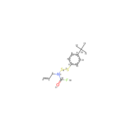 C=CCN(SSc1ccc(C(C)(C)C)cc1)C(=O)F